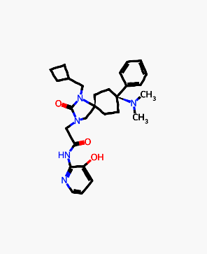 CN(C)[C@]1(c2ccccc2)CC[C@@]2(CC1)CN(CC(=O)Nc1ncccc1O)C(=O)N2CC1CCC1